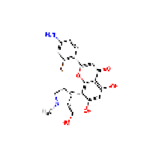 CN1CC[C@H](c2c(O)cc(O)c3c(=O)cc(-c4ccc(N)cc4Br)oc23)[C@H]1CO